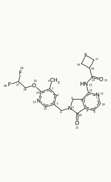 Cc1cc(CN2Cc3c(ccnc3NC(=O)C3CCC3)C2=O)cnc1OCC(F)F